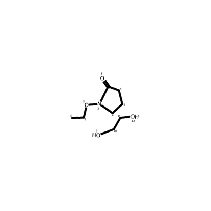 CCON1CCCC1=O.OCCO